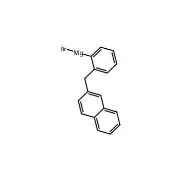 [Br][Mg][c]1ccccc1Cc1ccc2ccccc2c1